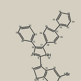 Brc1ccc2[nH]cc(-c3nc(-c4ccccc4)c(-c4ccc(-c5ccccc5)cc4)[nH]3)c2c1